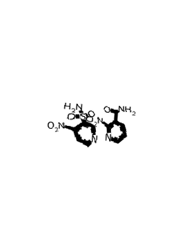 NC(=O)c1cccnc1[N+](=O)[O-].NS(=O)(=O)c1cnccc1[N+](=O)[O-]